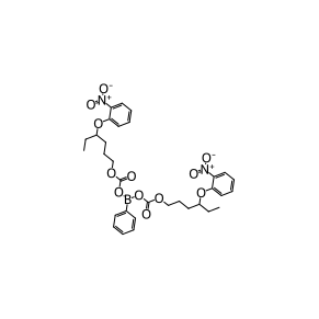 CCC(CCCOC(=O)OB(OC(=O)OCCCC(CC)Oc1ccccc1[N+](=O)[O-])c1ccccc1)Oc1ccccc1[N+](=O)[O-]